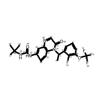 CC(c1cccc(OC(F)(F)F)c1F)n1c(=O)cnc2cc(NC(=O)NC(C)(C)C)ccc21